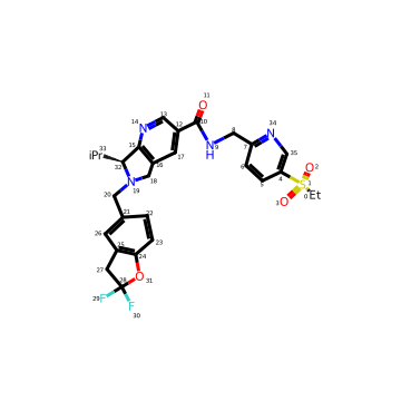 CCS(=O)(=O)c1ccc(CNC(=O)c2cnc3c(c2)CN(Cc2ccc4c(c2)CC(F)(F)O4)[C@H]3C(C)C)nc1